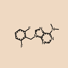 CN(C)c1ncnc2c1ncn2Cc1c(F)cccc1F